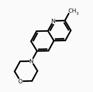 Cc1ccc2cc(N3CCOCC3)ccc2n1